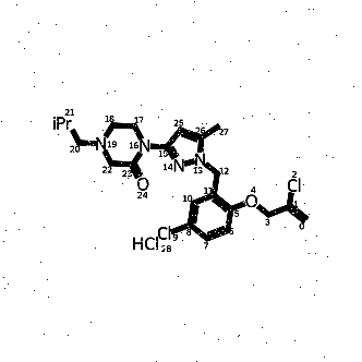 C=C(Cl)COc1ccc(Cl)cc1Cn1nc(N2CCN(CC(C)C)CC2=O)cc1C.Cl